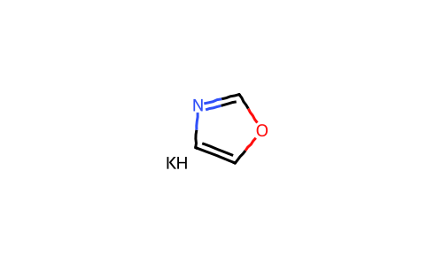 [KH].c1cocn1